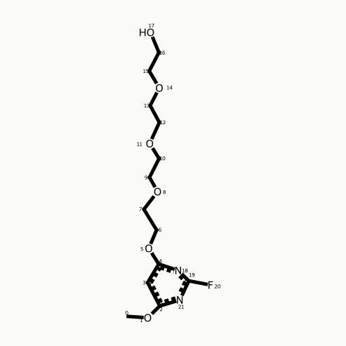 COc1cc(OCCOCCOCCOCCO)nc(F)n1